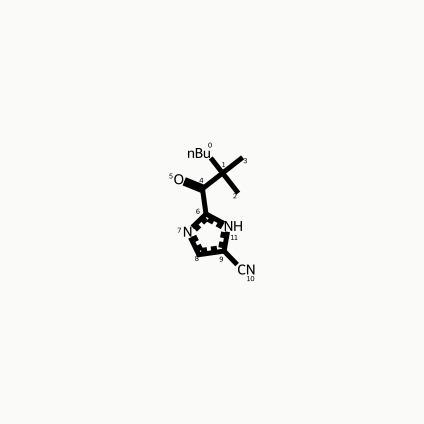 CCCCC(C)(C)C(=O)c1ncc(C#N)[nH]1